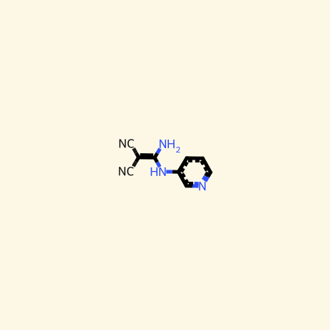 N#CC(C#N)=C(N)Nc1cccnc1